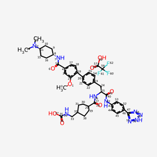 COc1cc(C(=O)N[C@H]2CC[C@H](N(C)C)CC2)ccc1-c1ccc(C[C@H](NC(=O)C2CCC(CNC(=O)O)CC2)C(=O)Nc2ccc(-c3nn[nH]n3)cc2)cc1.O=C(O)C(F)(F)F